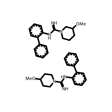 COC1CCCN(C(=N)Nc2ccccc2-c2ccccc2)C1.COC1CCN(C(=N)Nc2ccccc2-c2ccccc2)CC1